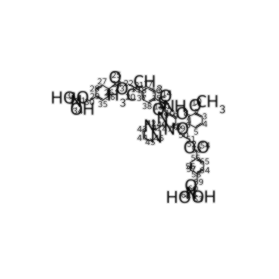 COc1ccccc1Oc1c(NS(=O)(=O)c2ccc(C(C)(C)COC(=O)c3ccc(CON(O)O)cc3)cc2)nc(-c2ncccn2)nc1OCCOC(=O)c1ccc(CON(O)O)cc1